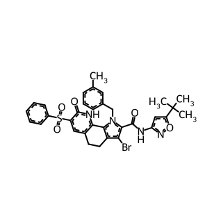 Cc1cccc(Cn2c(C(=O)Nc3cc(C(C)(C)C)on3)c(Br)c3c2-c2[nH]c(=O)c(S(=O)(=O)c4ccccc4)cc2CC3)c1